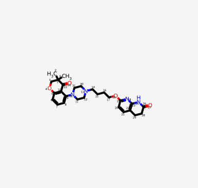 CC1(C)COc2cccc(N3CCN(CCCCOc4ccc5c(n4)NC(=O)CC5)CC3)c2C1=O